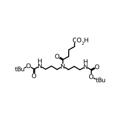 CC(C)(C)OC(=O)NCCCN(CCCNC(=O)OC(C)(C)C)C(=O)CCCC(=O)O